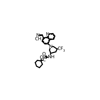 C/N=C\c1ccc(N2CC(NC(=O)CC3(O)CCCCC3)CC(C(F)(F)F)C2)c2cccnc12